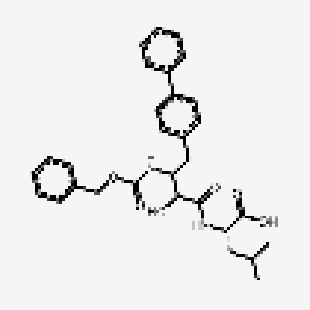 CC(C)C[C@H](NC(=O)C(O)C(Cc1ccc(-c2ccccc2)cc1)NC(=O)OCc1ccccc1)C(=O)O